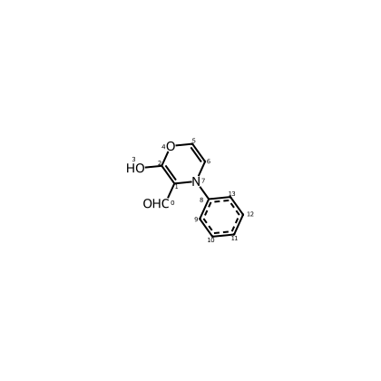 O=CC1=C(O)OC=CN1c1ccccc1